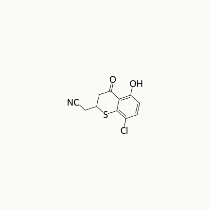 N#CCC1CC(=O)c2c(O)ccc(Cl)c2S1